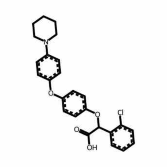 O=C(O)C(Oc1ccc(Oc2ccc(N3CCCCC3)cc2)cc1)c1ccccc1Cl